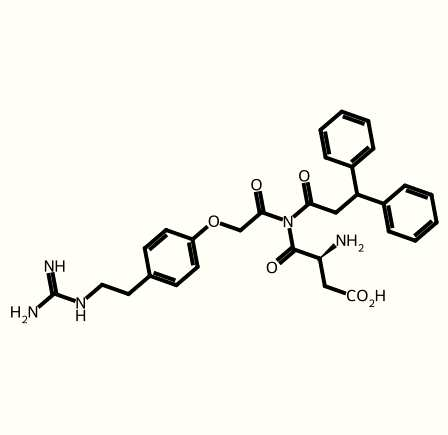 N=C(N)NCCc1ccc(OCC(=O)N(C(=O)CC(c2ccccc2)c2ccccc2)C(=O)[C@@H](N)CC(=O)O)cc1